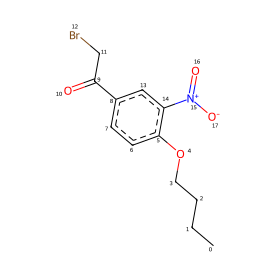 CCCCOc1ccc(C(=O)CBr)cc1[N+](=O)[O-]